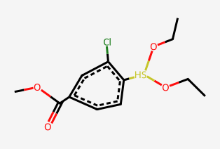 CCO[SH](OCC)c1ccc(C(=O)OC)cc1Cl